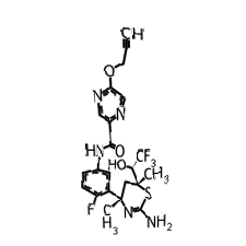 C#CCOc1cnc(C(=O)Nc2ccc(F)c([C@]3(C)C[C@](C)([C@H](O)C(F)(F)F)SC(N)=N3)c2)cn1